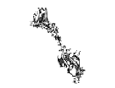 O=C(Nc1ccccc1-c1ccccc1)OC1CCN(CCCCCCCCCNCC(=O)c2cccc(F)c2O)CC1